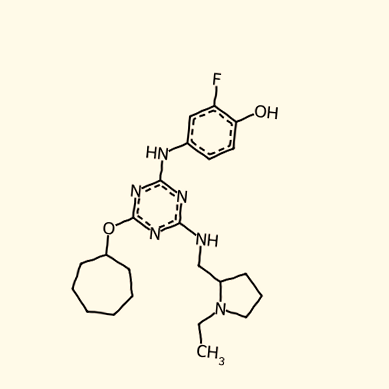 CCN1CCCC1CNc1nc(Nc2ccc(O)c(F)c2)nc(OC2CCCCCC2)n1